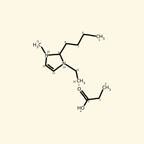 CCC(=O)O.CCCCC1N(C)C=CN1CC